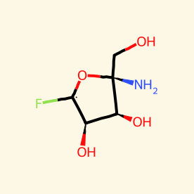 N[C@]1(CO)O[C](F)[C@H](O)[C@@H]1O